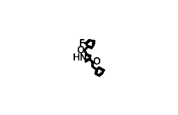 O=C(Cc1ccccc1)c1c[nH]c(C(=O)c2ccccc2F)c1